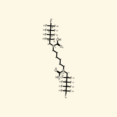 O=C(O)N(CCCCCCN(CC(F)(F)C(F)(F)C(F)(F)C(F)(F)F)C(=O)O)CC(F)(F)C(F)(F)C(F)(F)C(F)(F)F